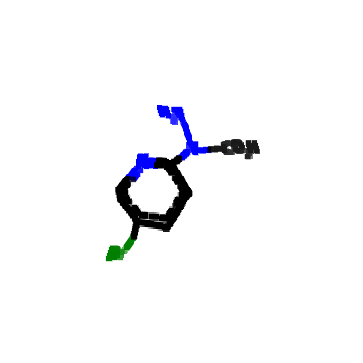 NN(C(=O)O)c1ccc(Br)cn1